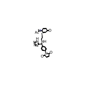 CC(=O)/N=C1/C=CC(=O)C=C1SCCNC(c1ccc(N2C(=O)C=CC2=O)cc1)c1nnn[nH]1